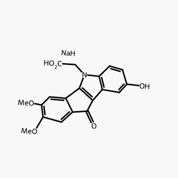 COc1cc2c(cc1OC)-c1c(c3cc(O)ccc3n1CC(=O)O)C2=O.[NaH]